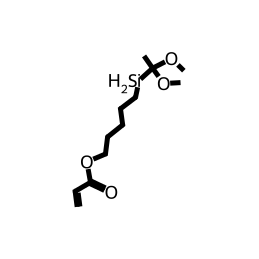 C=CC(=O)OCCCCC[SiH2]C(C)(OC)OC